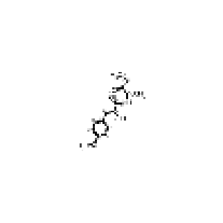 COC(=O)[C@H](C)NC(=O)[C@@H](S)Cc1ccc(OC)cc1